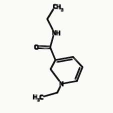 CCNC(=O)C1=CC=CN(CC)C1